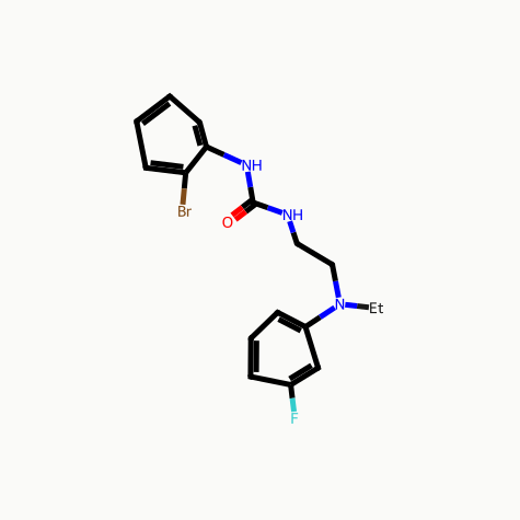 CCN(CCNC(=O)Nc1ccccc1Br)c1cccc(F)c1